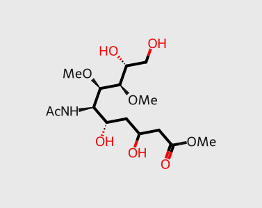 COC(=O)CC(O)C[C@H](O)[C@@H](NC(C)=O)[C@@H](OC)[C@H](OC)[C@H](O)CO